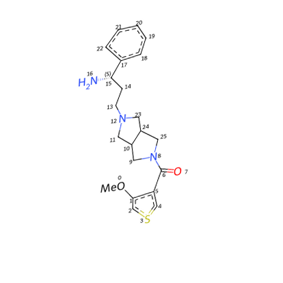 COc1cscc1C(=O)N1CC2CN(CC[C@H](N)c3ccccc3)CC2C1